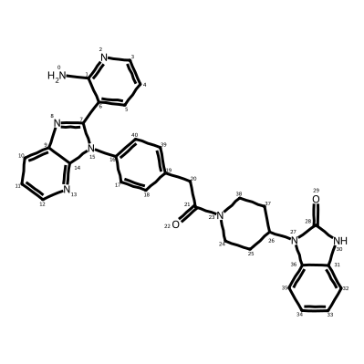 Nc1ncccc1-c1nc2cccnc2n1-c1ccc(CC(=O)N2CCC(n3c(=O)[nH]c4ccccc43)CC2)cc1